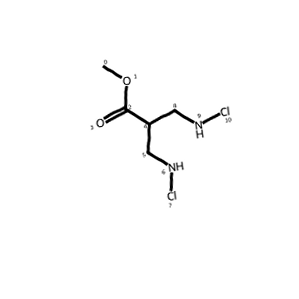 COC(=O)C(CNCl)CNCl